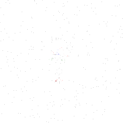 CCCc1ccccc1C(=O)C(=O)c1[nH]c(=O)c(Cl)c(CCc2ccc(C(=O)OC)cc2)c1Cl